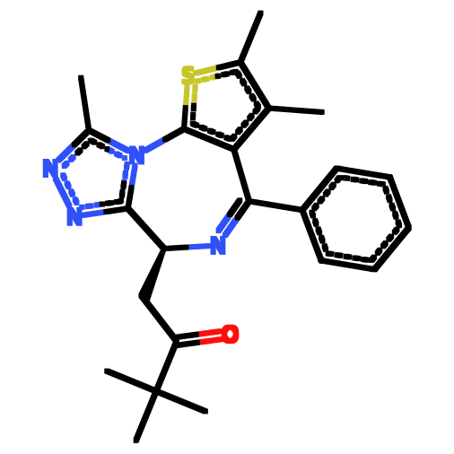 Cc1sc2c(c1C)C(c1ccccc1)=N[C@@H](CC(=O)C(C)(C)C)c1nnc(C)n1-2